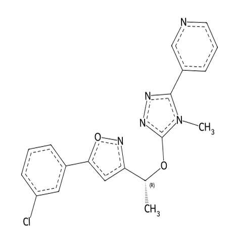 C[C@@H](Oc1nnc(-c2cccnc2)n1C)c1cc(-c2cccc(Cl)c2)on1